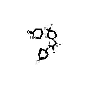 C[C@@H](C(=O)Nc1ccc(F)cn1)N1CCC(F)(F)[C@@H](C2CCC(=O)NC2)C1